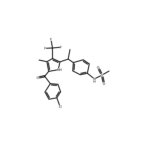 Cc1c(C(=O)c2ccc(Cl)cc2)[nH]c(C(C)c2ccc(NS(C)(=O)=O)cc2)c1C(F)(F)F